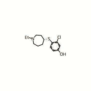 CCN1CCC[C@@H](Sc2ccc(O)cc2Cl)CC1